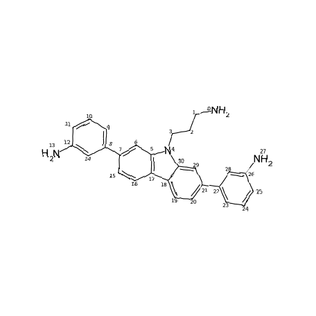 NCCCn1c2cc(-c3cccc(N)c3)ccc2c2ccc(-c3cccc(N)c3)cc21